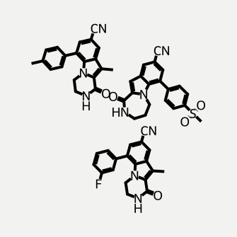 CS(=O)(=O)c1ccc(-c2cc(C#N)cc3cc4n(c23)CCCNC4=O)cc1.Cc1c2n(c3c(-c4cccc(F)c4)cc(C#N)cc13)CCNC2=O.Cc1ccc(-c2cc(C#N)cc3c(C)c4n(c23)CCNC4=O)cc1